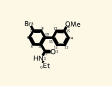 CCNC(=O)c1ccc(Br)cc1-c1cccc(OC)c1